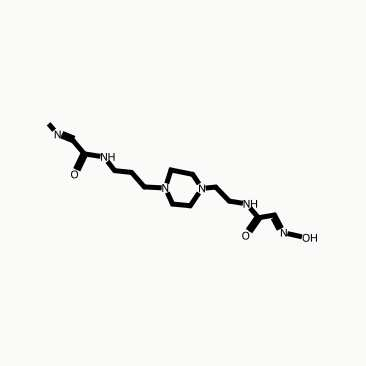 C/N=C/C(=O)NCCCN1CCN(CCNC(=O)/C=N/O)CC1